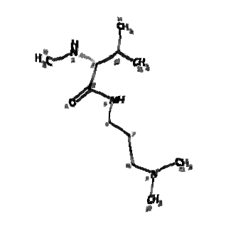 CN[C@@H](C(=O)NCCCN(C)C)C(C)C